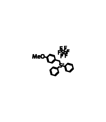 COc1ccc(C[S+](c2ccccc2)c2ccccc2)cc1.[F][Sb-]([F])([F])([F])([F])[F]